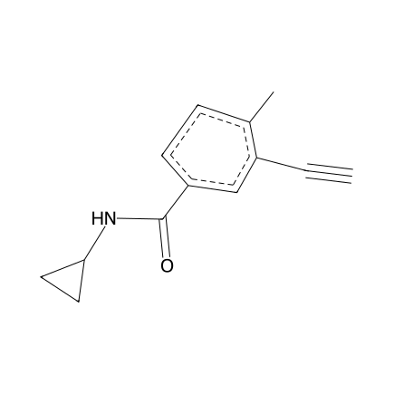 C#Cc1cc(C(=O)NC2CC2)ccc1C